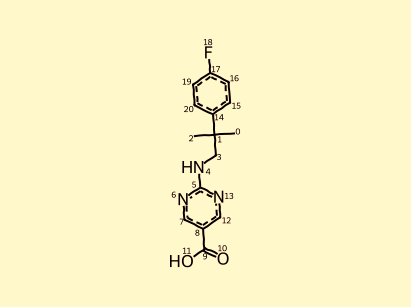 CC(C)(CNc1ncc(C(=O)O)cn1)c1ccc(F)cc1